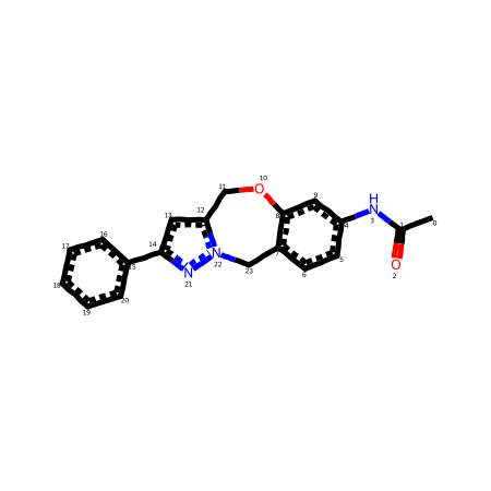 CC(=O)Nc1ccc2c(c1)OCc1cc(-c3ccccc3)nn1C2